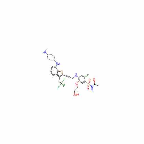 CC(=O)NS(=O)(=O)c1cc(OCCO)c(NCC#Cc2sc3c(NC4CCC(N(C)C)CC4)cccc3c2CC(F)(F)F)cc1F